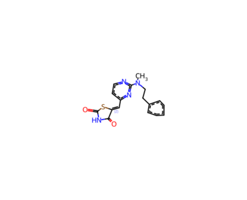 CN(CCc1ccccc1)c1nccc(/C=C2\SC(=O)NC2=O)n1